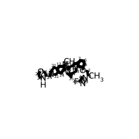 CC(COc1cccc2cc(-c3nc4cc5c(cc4n3C)CCN(C[C@H]3COCCN3)C5)n(CC3CC3)c12)n1cnc(F)c1